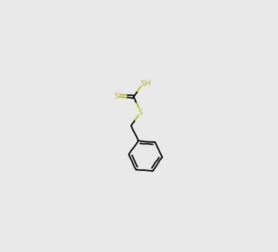 S=C(S)SCc1ccccc1